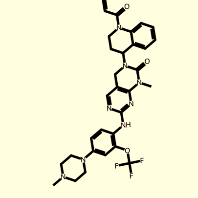 C=CC(=O)N1CCC(N2Cc3cnc(Nc4ccc(N5CCN(C)CC5)cc4OC(F)(F)F)nc3N(C)C2=O)c2ccccc21